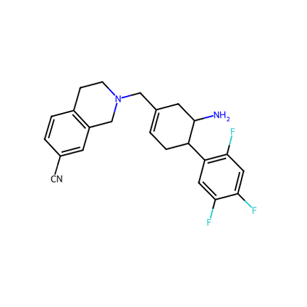 N#Cc1ccc2c(c1)CN(CC1=CCC(c3cc(F)c(F)cc3F)C(N)C1)CC2